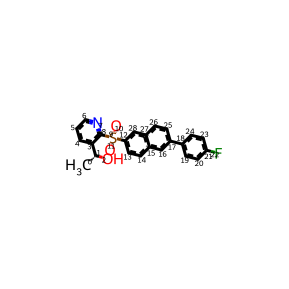 C[C@@H](O)c1cccnc1S(=O)(=O)c1ccc2cc(-c3ccc(F)cc3)ccc2c1